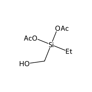 CC[Si](CO)(OC(C)=O)OC(C)=O